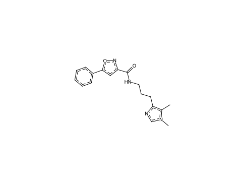 Cc1c(CCCNC(=O)c2cc(-c3ccccc3)on2)ncn1C